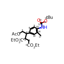 CCOC(=O)C[C@@H](C(=O)OCC)C(COC(C)=O)c1ccc(NC(=O)OC(C)(C)C)c(C)c1